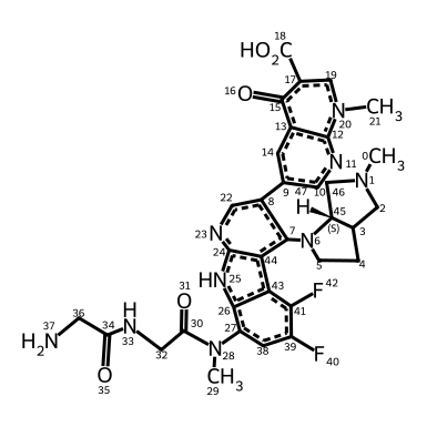 CN1CC2CCN(c3c(-c4cnc5c(c4)c(=O)c(C(=O)O)cn5C)cnc4[nH]c5c(N(C)C(=O)CNC(=O)CN)cc(F)c(F)c5c34)[C@@H]2C1